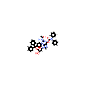 CC(=O)Nc1nc(OC(=O)N(c2ccccc2)c2ccccc2)c2ncn(C3CC(O)C(OC(c4ccccc4)(c4ccccc4)c4ccccc4)O3)c2n1